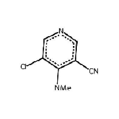 CNc1c(Cl)cncc1C#N